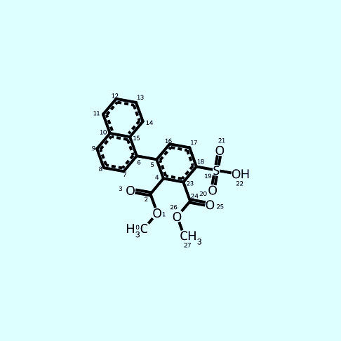 COC(=O)c1c(-c2cccc3ccccc23)ccc(S(=O)(=O)O)c1C(=O)OC